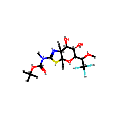 CO[C@H]([C@H]1O[C@@H]2SC(N(C)C(=O)OC(C)(C)C)=N[C@@H]2[C@@H](O)[C@@H]1O)C(F)(F)F